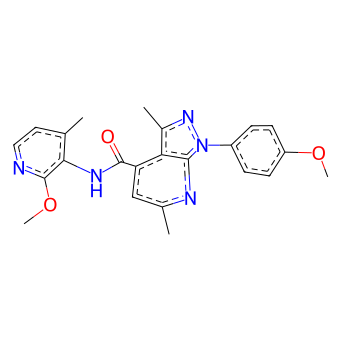 COc1ccc(-n2nc(C)c3c(C(=O)Nc4c(C)ccnc4OC)cc(C)nc32)cc1